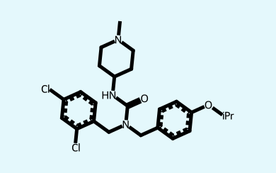 CC(C)Oc1ccc(CN(Cc2ccc(Cl)cc2Cl)C(=O)NC2CCN(C)CC2)cc1